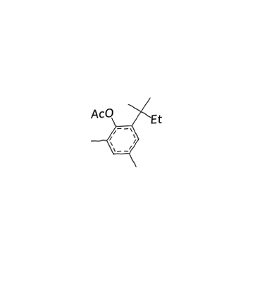 [CH2-][CH+]C(C)(C)c1cc(C)cc(C)c1OC(C)=O